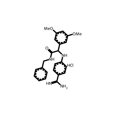 COc1cc(OC)cc(C(Nc2ccc(C(=N)N)cc2)C(=O)NCc2ccccc2)c1.Cl